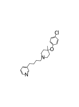 CC1(Oc2ccc(Cl)cc2)CCN(CCCCc2cccnc2)CC1